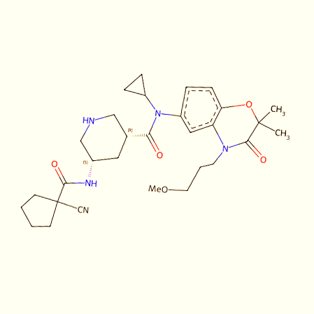 COCCCN1C(=O)C(C)(C)Oc2ccc(N(C(=O)[C@H]3CNC[C@@H](NC(=O)C4(C#N)CCCC4)C3)C3CC3)cc21